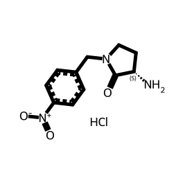 Cl.N[C@H]1CCN(Cc2ccc([N+](=O)[O-])cc2)C1=O